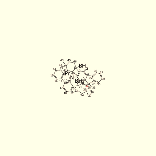 BC1(c2cc3c(cc2N(c2c(-c4ccccc4)cccc2C2(B)CCC(C)(C)CC2)C(C)C)C(C)(C)c2ccccc2-3)CCC(C)(C)CC1